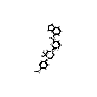 COc1ccc(N2CCN(c3nccc(Nc4cccc5c4CCC5)n3)CC2(C)C)cc1